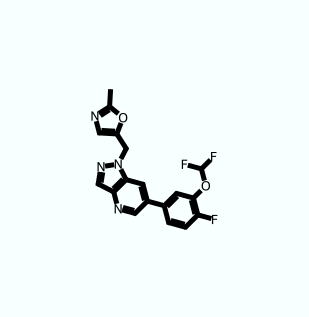 Cc1ncc(Cn2ncc3ncc(-c4ccc(F)c(OC(F)F)c4)cc32)o1